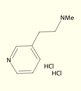 CNCCc1cccnc1.Cl.Cl